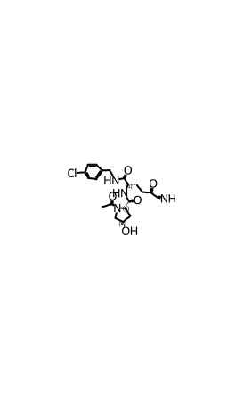 CC(=O)N1C[C@@H](O)C[C@H]1C(=O)N[C@@H](CCC(=O)C=N)C(=O)NCc1ccc(Cl)cc1